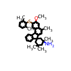 COc1cc2c(C)cc3c(c2cc1Sc1c(C)cccc1C)-c1ccccc1C31CC(C)(C)CC(C)(N)C1